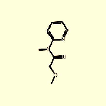 COCC(=O)N(C)c1ccccn1